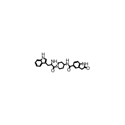 NC(Cc1c[nH]c2ccccc12)C(=O)N1CCC(NC(=O)c2ccc3c(c2)CC(=O)N3)CC1